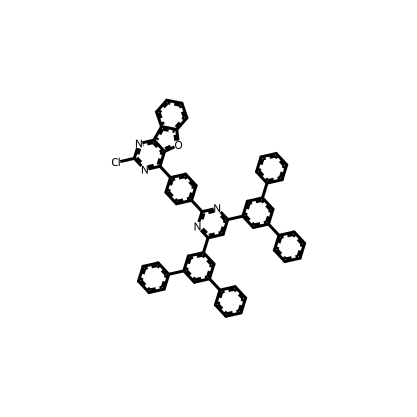 Clc1nc(-c2ccc(-c3nc(-c4cc(-c5ccccc5)cc(-c5ccccc5)c4)cc(-c4cc(-c5ccccc5)cc(-c5ccccc5)c4)n3)cc2)c2oc3ccccc3c2n1